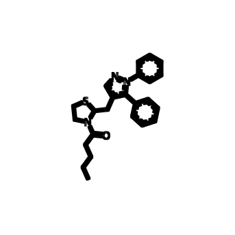 CCCCC(=O)N1CCSC1Cc1cnn(-c2ccccc2)c1-c1ccccc1